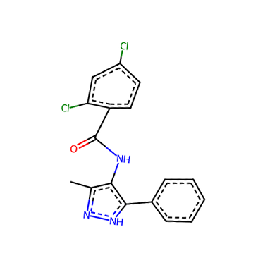 Cc1n[nH]c(-c2ccccc2)c1NC(=O)c1ccc(Cl)cc1Cl